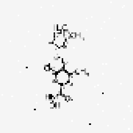 Cc1cc(C(=O)NO)cc(Cl)c1OC[C@@H]1COC(C)(C)O1